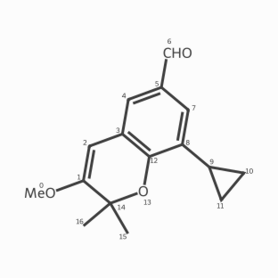 COC1=Cc2cc(C=O)cc(C3CC3)c2OC1(C)C